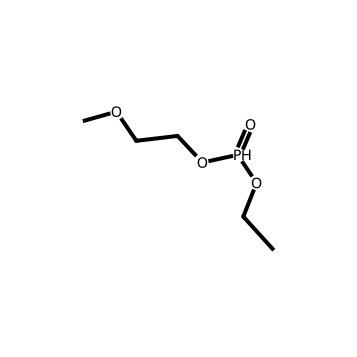 CCO[PH](=O)OCCOC